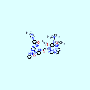 C=CC(=O)Nc1cc(Nc2nccc(-n3ccc4cccnc43)n2)c(OC)cc1N(C)CCN(C)C.C=CC(=O)Nc1cccc(N(C(=O)Nc2ccccc2)c2cc(Nc3ccc(N4CCN(C)CC4)cc3OC)ncn2)c1